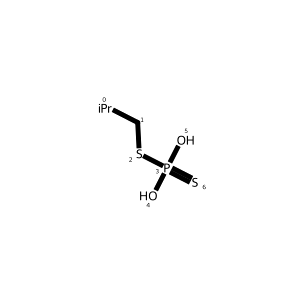 CC(C)CSP(O)(O)=S